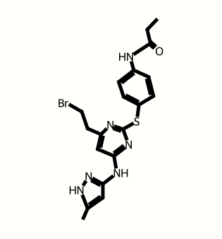 CCC(=O)Nc1ccc(Sc2nc(CCBr)cc(Nc3cc(C)[nH]n3)n2)cc1